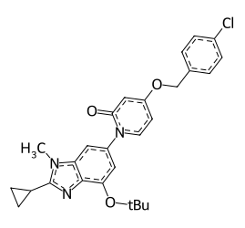 Cn1c(C2CC2)nc2c(OC(C)(C)C)cc(-n3ccc(OCc4ccc(Cl)cc4)cc3=O)cc21